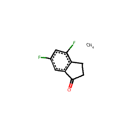 C.O=C1CCc2c(F)cc(F)cc21